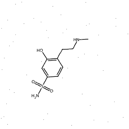 CNCCc1ccc(S(N)(=O)=O)cc1O